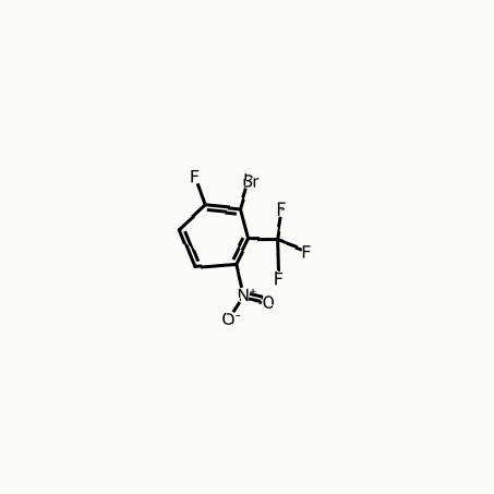 O=[N+]([O-])c1ccc(F)c(Br)c1C(F)(F)F